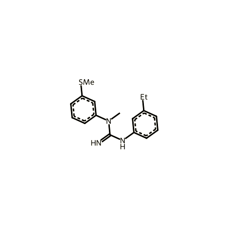 CCc1cccc(NC(=N)N(C)c2cccc(SC)c2)c1